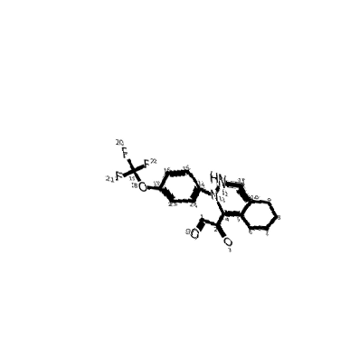 O=CC(=O)C1=C2CCCCC2=CNN1c1ccc(OC(F)(F)F)cc1